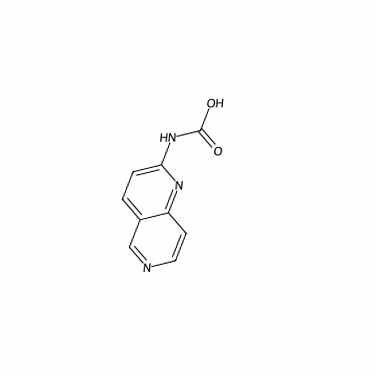 O=C(O)Nc1ccc2cnccc2n1